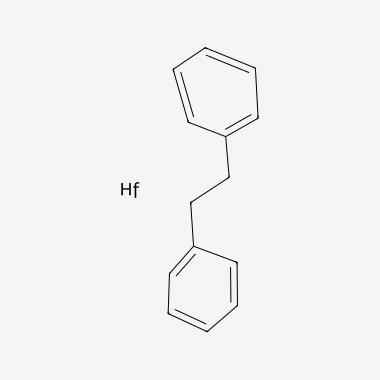 [Hf].c1ccc(CCc2ccccc2)cc1